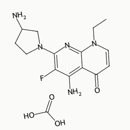 CCn1ccc(=O)c2c(N)c(F)c(N3CCC(N)C3)nc21.O=C(O)O